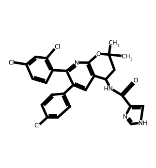 CC1(C)CC(NC(=O)c2c[nH]cn2)c2cc(-c3ccc(Cl)cc3)c(-c3ccc(Cl)cc3Cl)nc2O1